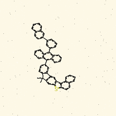 CC1(C)c2ccc(-c3c4ccccc4c(-c4cccc(-c5ccc6ccccc6c5)c4)c4ccccc34)cc2-c2cc3c(cc21)sc1ccc2ccccc2c13